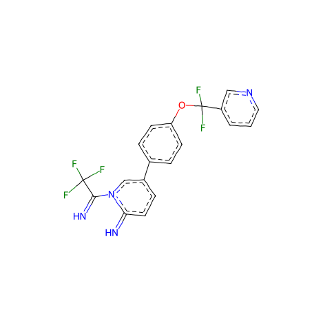 N=C(n1cc(-c2ccc(OC(F)(F)c3cccnc3)cc2)ccc1=N)C(F)(F)F